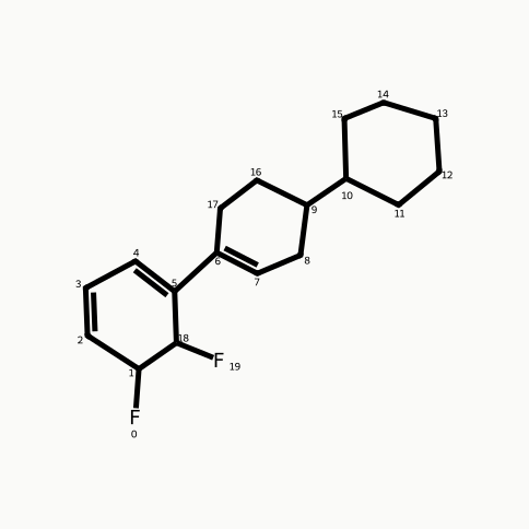 FC1C=CC=C(C2=CCC(C3CCCCC3)CC2)C1F